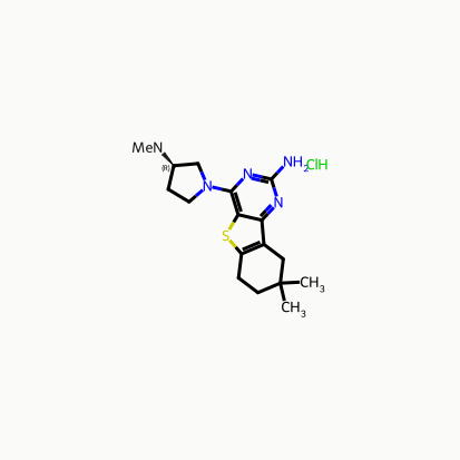 CN[C@@H]1CCN(c2nc(N)nc3c4c(sc23)CCC(C)(C)C4)C1.Cl